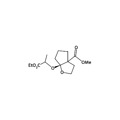 CCOC(=O)C(C)O[C@@]12CCCC1(C(=O)OC)CCO2